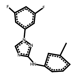 Cc1cccc(Nc2ncn(-c3cc(F)cc(F)c3)n2)c1